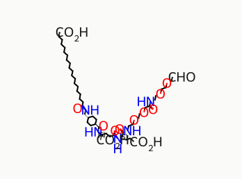 O=CCOCCOCCNC(=O)COCCOCCNC(=O)[C@H](CCC(=O)O)NC(=O)CC[C@H](NC(=O)[C@H]1CC[C@H](CNC(=O)CCCCCCCCCCCCCCCCCCC(=O)O)CC1)C(=O)O